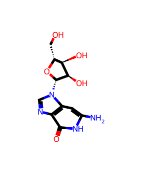 Nc1cc2c(ncn2[C@@H]2O[C@H](CO)[C@@H](O)[C@H]2O)c(=O)[nH]1